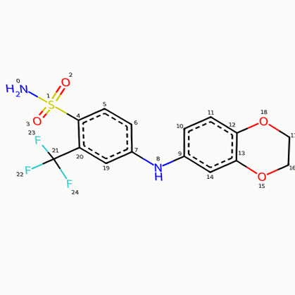 NS(=O)(=O)c1ccc(Nc2ccc3c(c2)OCCO3)cc1C(F)(F)F